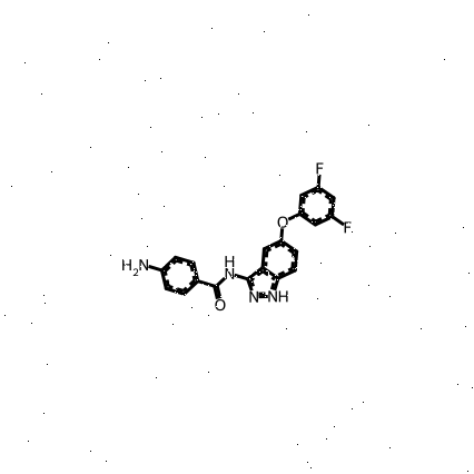 Nc1ccc(C(=O)Nc2n[nH]c3ccc(Oc4cc(F)cc(F)c4)cc23)cc1